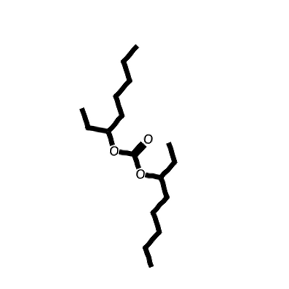 CCCCCC(CC)OC(=O)OC(CC)CCCCC